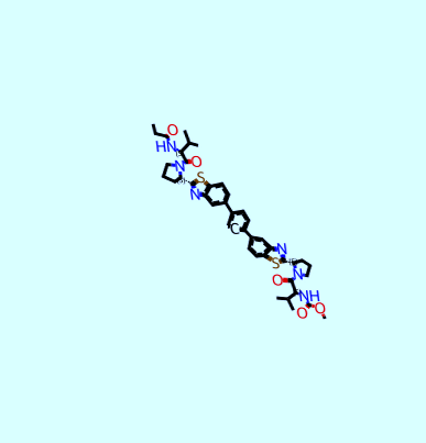 CCC(=O)N[C@H](C(=O)N1CCC[C@H]1c1nc2cc(-c3ccc(-c4ccc5sc([C@@H]6CCCN6C(=O)[C@@H](NC(=O)OC)C(C)C)nc5c4)cc3)ccc2s1)C(C)C